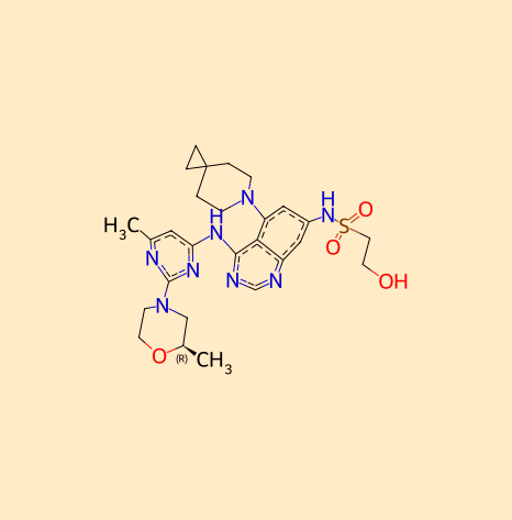 Cc1cc(Nc2ncnc3cc(NS(=O)(=O)CCO)cc(N4CCC5(CC4)CC5)c23)nc(N2CCO[C@H](C)C2)n1